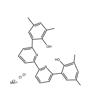 Cc1cc(C)c(O)c(-c2cccc(-c3cccc(-c4cc(C)cc(C)c4O)n3)n2)c1.[Cl-].[Cl-].[Cl-].[Mn+3]